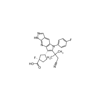 CC(C)(CC#N)c1c([C@@H]2CC[C@@](F)(C(=O)O)C2)c2nc3[nH]ncc3cc2n1-c1ccc(F)cc1